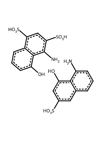 Nc1c(S(=O)(=O)O)cc(S(=O)(=O)O)c2cccc(O)c12.Nc1cccc2cc(S(=O)(=O)O)cc(O)c12